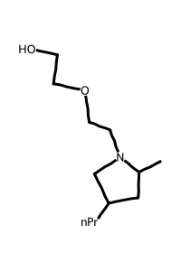 CCCC1CC(C)N(CCOCCO)C1